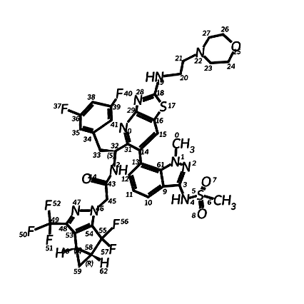 Cn1nc(NS(C)(=O)=O)c2cccc(-c3cc4sc(NCCN5CCOCC5)nc4nc3[C@H](Cc3cc(F)cc(F)c3)NC(=O)Cn3nc(C(F)(F)F)c4c3C(F)(F)[C@@H]3C[C@H]43)c21